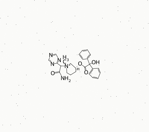 C[N+]1(C(C(N)=O)c2ncncn2)CCC[C@@H](OC(=O)C(O)(c2ccccc2)c2ccccc2)C1